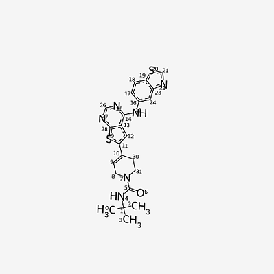 CC(C)(C)NC(=O)N1CC=C(c2cc3c(Nc4ccc5scnc5c4)ncnc3s2)CC1